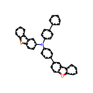 c1ccc(-c2ccc(N(c3ccc(-c4ccc5oc6ccccc6c5c4)cc3)c3ccc4sc5ccccc5c4c3)cc2)cc1